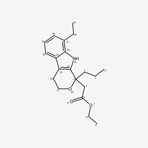 CCCC1(CC(=O)OCC)OCCc2c1[nH]c1c(CC)cccc21